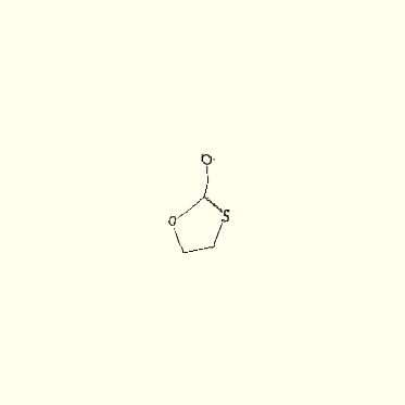 [O]C1OCCS1